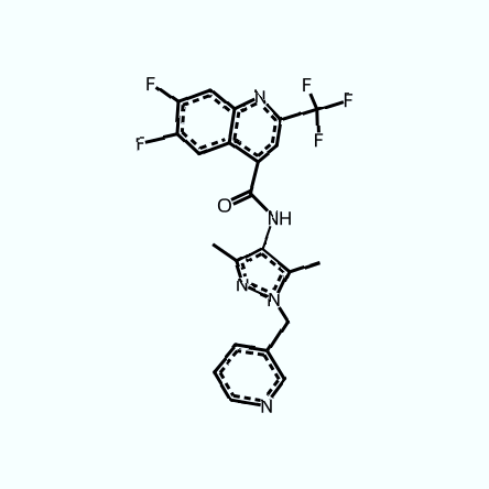 Cc1nn(Cc2cccnc2)c(C)c1NC(=O)c1cc(C(F)(F)F)nc2cc(F)c(F)cc12